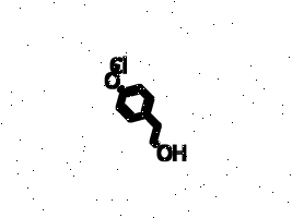 OCCc1ccc(OCl)cc1